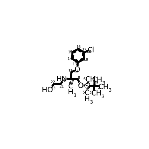 CC(C)(C)[Si](C)(C)OC[C@](C)(COc1cccc(Cl)c1)NCCO